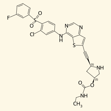 CCNC(=O)O[C@@H]1CN[C@H](C#Cc2cc3ncnc(Nc4ccc(S(=O)(=O)c5cccc(F)c5)c(Cl)c4)c3s2)C1